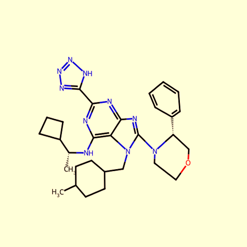 CC1CCC(Cn2c(N3CCOC[C@H]3c3ccccc3)nc3nc(-c4nnn[nH]4)nc(N[C@H](C)C4CCC4)c32)CC1